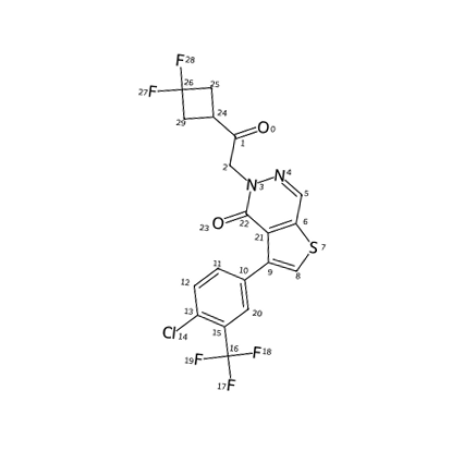 O=C(Cn1ncc2scc(-c3ccc(Cl)c(C(F)(F)F)c3)c2c1=O)C1CC(F)(F)C1